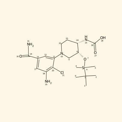 CC(C)(C)[Si](C)(C)O[C@@H]1CN(c2cc(C(N)=O)cc(N)c2Cl)CC[C@@H]1NC(=O)O